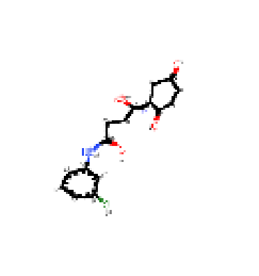 O=C1CCC(=O)/C(=C(/O)CCC(=O)Nc2cccc(Cl)c2)C1